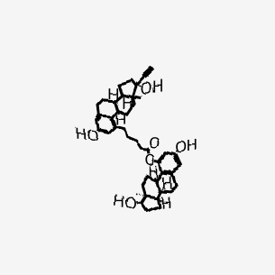 C#C[C@]1(O)CC[C@H]2[C@@H]3CCc4cc(O)cc(CCCCC(=O)Oc5cc(O)cc6c5[C@H]5CC[C@]7(C)[C@H](O)CC[C@H]7[C@@H]5CC6)c4[C@H]3CCC21C